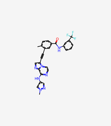 Cc1ccc(C(=O)Nc2cccc(C(F)(F)F)c2)cc1C#Cc1cnc2c(Nc3cnn(C)c3)nccn12